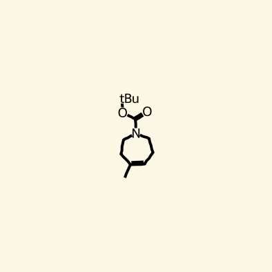 CC1=CCCN(C(=O)OC(C)(C)C)CC1